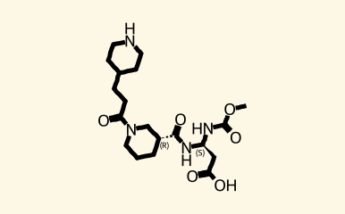 COC(=O)N[C@@H](CC(=O)O)NC(=O)[C@@H]1CCCN(C(=O)CCC2CCNCC2)C1